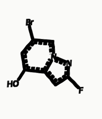 Oc1cc(Br)cn2nc(F)cc12